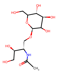 CC(=O)N[C@@H](CO[C@H]1OC(CO)[C@H](O)[C@@H](O)C1O)[C@H](O)CO